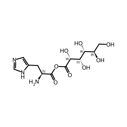 N[C@@H](Cc1cnc[nH]1)C(=O)OC(=O)[C@H](O)[C@@H](O)[C@H](O)[C@H](O)CO